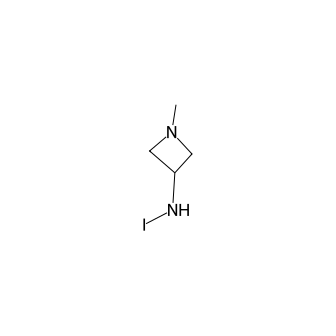 CN1CC(NI)C1